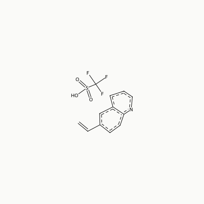 C=Cc1ccc2ncccc2c1.O=S(=O)(O)C(F)(F)F